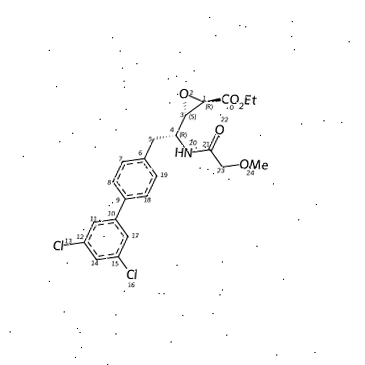 CCOC(=O)[C@@H]1O[C@H]1[C@@H](Cc1ccc(-c2cc(Cl)cc(Cl)c2)cc1)NC(=O)COC